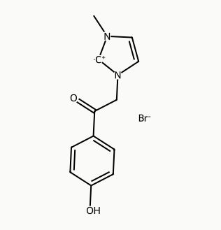 CN1[C+]N(CC(=O)c2ccc(O)cc2)C=C1.[Br-]